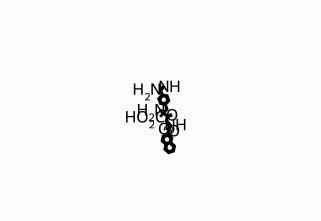 N=C(N)c1ccc(CC(N)(C(=O)O)C(=O)CNS(=O)(=O)c2ccc3ccccc3c2)cc1